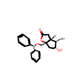 CC(C)(C)[C@H]1[C@H](O)C[C@]2(CO[SiH](c3ccccc3)c3ccccc3)OC(=O)C[C@H]12